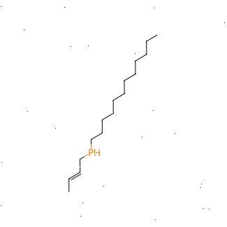 CC=CCPCCCCCCCCCCCC